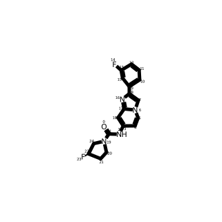 O=C(Nc1ccn2cc(-c3cccc(F)c3)nc2c1)N1CC[C@H](F)C1